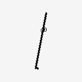 CCCCC=CCCCCCCCC(=O)OCCCCCCCCCCCCCCCCCCCCCCCCCCCCC(C)CC